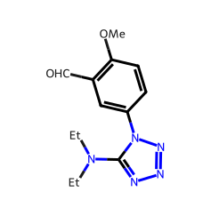 CCN(CC)c1nnnn1-c1ccc(OC)c(C=O)c1